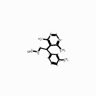 Cc1ncnc(C)c1C(COC=O)c1cccc(C(F)(F)F)c1